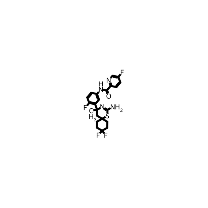 CC1(c2cc(NC(=O)c3ccc(F)cn3)ccc2F)CC2(CCC(F)(F)CC2)SC(N)=N1